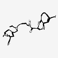 CCN(CCNC(=O)c1cnc2cc(I)ccc2n1)Cc1ccnc(F)c1